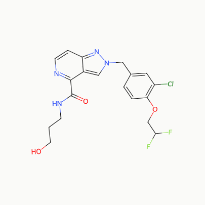 O=C(NCCCO)c1nccc2nn(Cc3ccc(OCC(F)F)c(Cl)c3)cc12